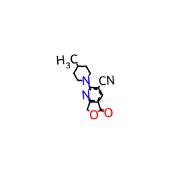 CC1CCN(c2nc3c(cc2C#N)C(=O)OC3)CC1